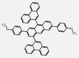 FC(F)(F)Oc1ccc(-c2ccc3c(-c4cc5ccccc5c5ccccc45)c4cc(-c5ccc(OC(F)(F)F)cc5)cc(-c5cc6ccccc6c6ccccc56)c4cc3c2)cc1